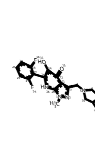 Cn1nc(CN2CCC(F)C2)c2c(=O)c(O)c(-c3c(F)cccc3F)[nH]c21